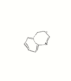 [C]1C=Nc2ccccc2C1